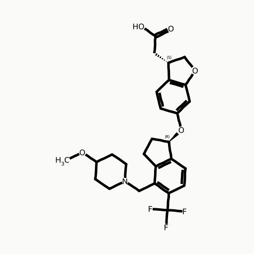 COC1CCN(Cc2c(C(F)(F)F)ccc3c2CC[C@H]3Oc2ccc3c(c2)OC[C@H]3CC(=O)O)CC1